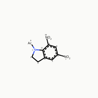 CC(=O)N1CCc2cc([N+](=O)[O-])cc([N+](=O)[O-])c21